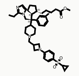 CCc1nccn1C[C@@](c1cccc(F)c1)(C1CCN(CC2CN(c3ccc(S(=O)(=O)C4CC4)cc3)C2)CC1)[C@H]1CCC[C@@H]1CCCCC(=O)OC